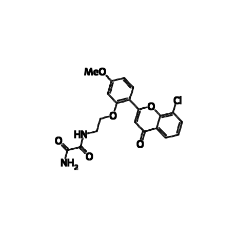 COc1ccc(-c2cc(=O)c3cccc(Cl)c3o2)c(OCCNC(=O)C(N)=O)c1